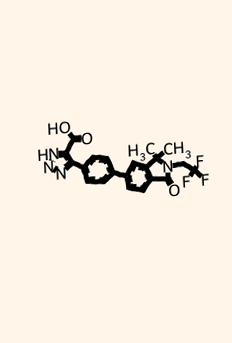 CC1(C)c2cc(-c3ccc(-c4nn[nH]c4C(=O)O)cc3)ccc2C(=O)N1CC(F)(F)F